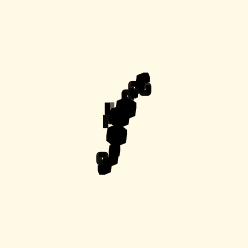 C=CC(=O)CC#Cc1ccc(-c2cc3ccc(OCOC(=O)C=C)cc3c(F)c2F)cc1